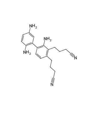 N#CCCCc1ccc(-c2cc(N)ccc2N)c(N)c1CCCC#N